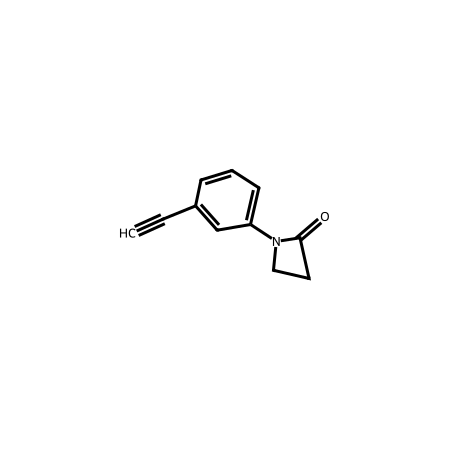 C#Cc1cccc(N2CCC2=O)c1